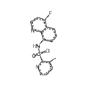 Cc1cccnc1S(=O)(=O)Nc1cccc2c(F)ccnc12